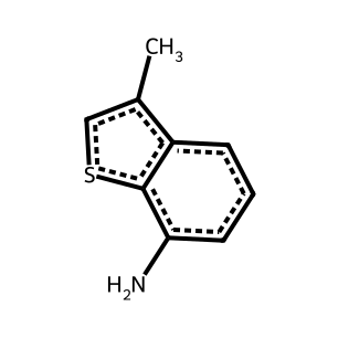 Cc1csc2c(N)cccc12